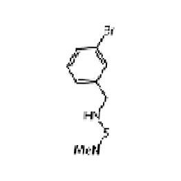 CNSNCc1cccc(Br)c1